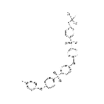 CCC(C)(Cc1ccc(S(=O)(=O)c2ccc(Oc3ccc(S(=O)(=O)c4ccc(Oc5ccc(C)cc5)cc4)cc3)cc2)cc1)C(C)=O